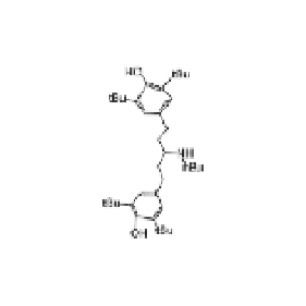 CCCCNC(CCc1cc(C(C)(C)C)c(O)c(C(C)(C)C)c1)CCc1cc(C(C)(C)C)c(O)c(C(C)(C)C)c1